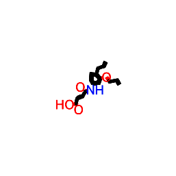 C=CCOc1cc(NC(=O)C=CC(=O)O)ccc1CC=C